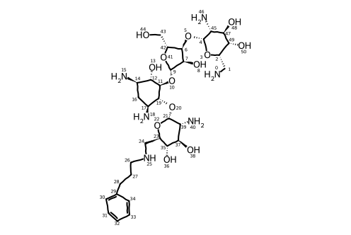 NC[C@@H]1O[C@H](O[C@H]2[C@@H](O)[C@H](O[C@@H]3[C@@H](O)[C@H](N)C[C@H](N)[C@H]3O[C@H]3O[C@H](CNCCCc4ccccc4)[C@@H](O)[C@H](O)[C@H]3N)O[C@@H]2CO)[C@H](N)[C@@H](O)[C@@H]1O